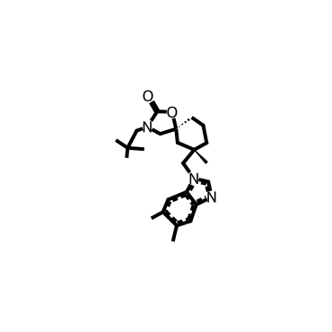 Cc1cc2ncn(C[C@@]3(C)CCC[C@@]4(CN(CC(C)(C)C)C(=O)O4)C3)c2cc1C